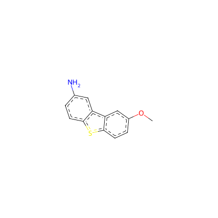 COc1ccc2sc3ccc(N)cc3c2c1